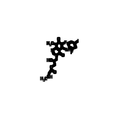 CNCC(=O)OCC(O)Cn1cnc2c(c(Nc3ccc(I)cc3F)c(F)c(=O)n2C)c1=O